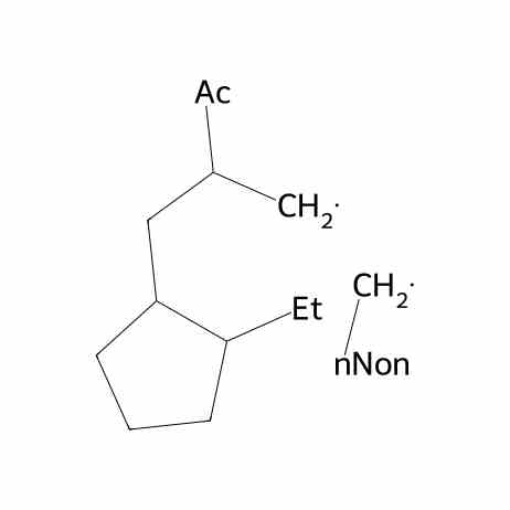 [CH2]C(CC1CCCC1CC)C(C)=O.[CH2]CCCCCCCCC